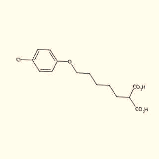 O=C(O)C(CCCCCOc1ccc(Cl)cc1)C(=O)O